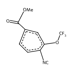 [C-]#[N+]c1ccc(C(=O)OC)cc1OC(F)(F)F